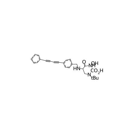 CC(C)(C)N(CC(NCc1ccc(C#CC#Cc2ccccc2)cc1)C(=O)NO)C(=O)O